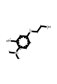 CCCc1cc(OCCO)ccc1N(C)C